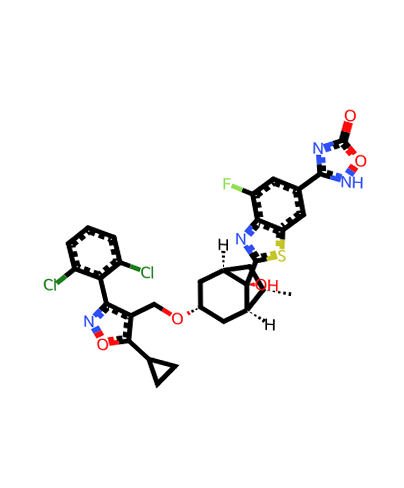 C[C@H]1C[C@@H]2C[C@@H](OCc3c(-c4c(Cl)cccc4Cl)noc3C3CC3)C[C@H]1[C@]2(O)c1nc2c(F)cc(-c3nc(=O)o[nH]3)cc2s1